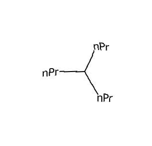 [CH2]CCC(CC[CH2])CCC